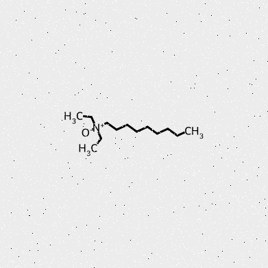 CCCCCCCCC[N+]([O-])(CC)CC